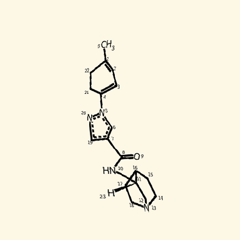 CC1=CC=C(n2cc(C(=O)N[C@H]3CN4CCC3CC4)cn2)CC1